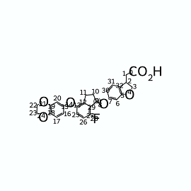 O=C(O)CC1COc2cc(O[C@@H]3CCc4c(Oc5ccc6c(c5)OCCO6)ccc(F)c43)ccc21